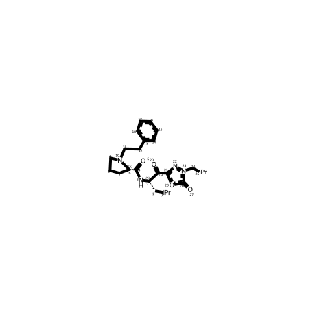 CC(C)C[C@H](NC(=O)[C@@H]1CCCN1CCc1ccccc1)C(=O)c1nn(CC(C)C)c(=O)o1